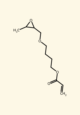 C=CC(=O)OCCCCOCC1OC1C